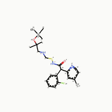 CC(C)(CNCSNC(=O)C(c1cc(C(F)(F)F)ccn1)c1ccccc1F)O[Si](C)(C)C(C)(C)C